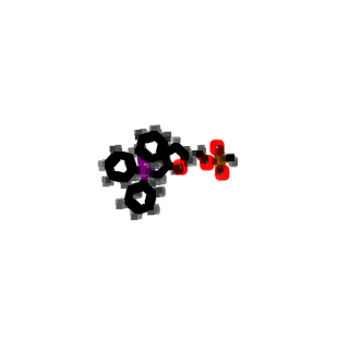 CS(=O)(=O)OC[C@H]1CC[C@H](C[PH](c2ccccc2)(c2ccccc2)c2ccccc2)O1